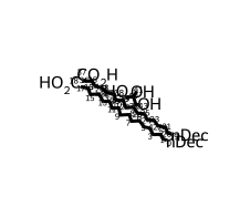 CCCCCCCCCCCCCCCCCCCCCCCCCCCC(=O)O.CCCCCCCCCCCCCCCCCCCCCCCCCCCC(=O)O.OCC(O)CO